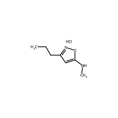 CCCc1cc(NC)on1.Cl